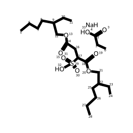 CCC(=O)O.CCCCC(CC)COC(=O)CC(C(=O)OCC(CC)CCCC)S(=O)(=O)O.[NaH]